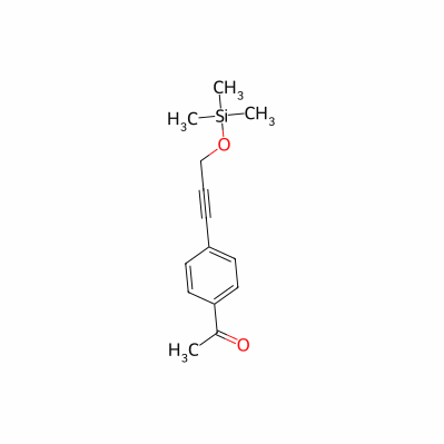 CC(=O)c1ccc(C#CCO[Si](C)(C)C)cc1